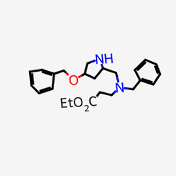 CCOC(=O)CCN(Cc1ccccc1)CC1CC(OCc2ccccc2)CN1